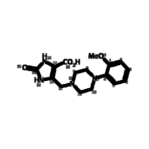 COc1ccccc1N1CCN(Cc2[nH]c(=O)[nH]c2C(=O)O)CC1